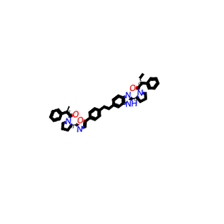 CC[C@@H](C(=O)N1CCC[C@H]1c1nc2ccc(CCc3ccc(-c4cnc([C@@H]5CCCN5C(=O)[C@H](C)c5ccccc5)o4)cc3)cc2[nH]1)c1ccccc1